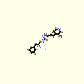 N[C@H](CNc1nnc(-c2cc3c(Cl)cncc3s2)s1)Cc1cc(F)cc(F)c1